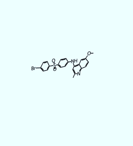 COc1ccc2nc(C)cc(Nc3ccc(S(=O)(=O)c4ccc(Br)cc4)cc3)c2c1